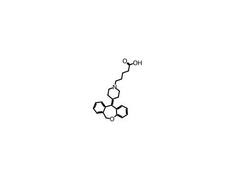 O=C(O)CCCCN1CCC(=C2c3ccccc3COc3ccccc32)CC1